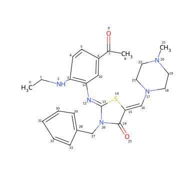 CCNc1ccc(C(C)=O)cc1/N=C1\S/C(=C\N2CCN(C)CC2)C(=O)N1Cc1ccccc1